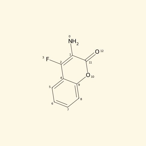 Nc1c(F)c2ccccc2oc1=O